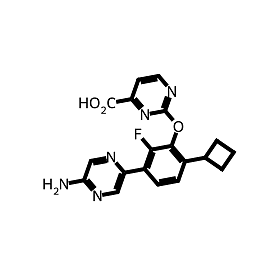 Nc1cnc(-c2ccc(C3CCC3)c(Oc3nccc(C(=O)O)n3)c2F)cn1